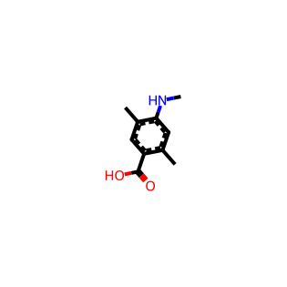 CNc1cc(C)c(C(=O)O)cc1C